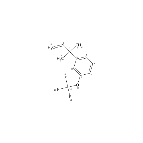 C=CC(C)(C)c1cccc(OC(F)(F)F)c1